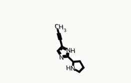 CC#Cc1cnc(C2CCCN2)[nH]1